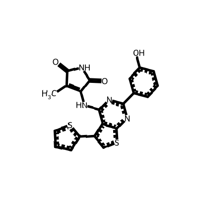 CC1=C(Nc2nc(-c3cccc(O)c3)nc3scc(-c4cccs4)c23)C(=O)NC1=O